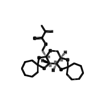 C=C(C)C(=O)OC[C@]12OC[C@H]3OC4(CCCCCC4)O[C@H]3[C@@H]1OC1(CCCCCC1)O2